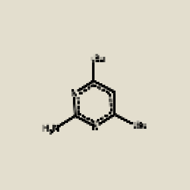 CC(C)(C)c1cc(C(C)(C)C)nc(N)n1